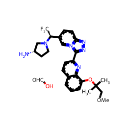 COCC(C)(C)Oc1cccc2ccc(-c3nnc4ccc([C@@H](N5CC[C@H](N)C5)C(F)(F)F)cn34)nc12.O=CO